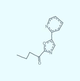 CCCC(=O)c1ncc(-c2ccccn2)o1